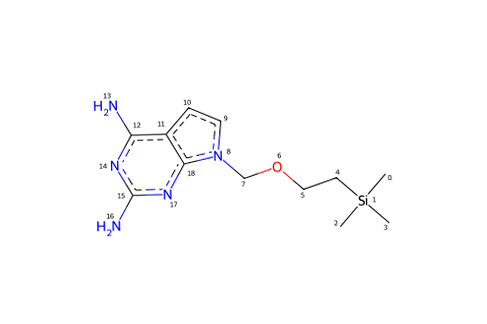 C[Si](C)(C)CCOCn1ccc2c(N)nc(N)nc21